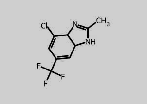 CC1=NC2C(Cl)=CC(C(F)(F)F)=CC2N1